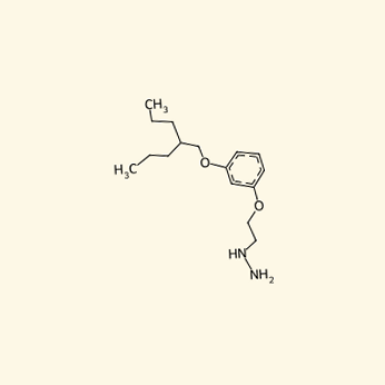 CCCC(CCC)COc1cccc(OCCNN)c1